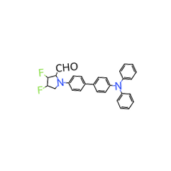 O=CC1C(F)C(F)CN1c1ccc(-c2ccc(N(c3ccccc3)c3ccccc3)cc2)cc1